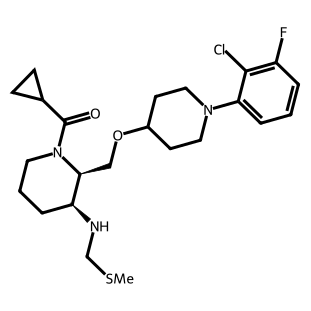 CSCN[C@H]1CCCN(C(=O)C2CC2)[C@H]1COC1CCN(c2cccc(F)c2Cl)CC1